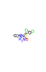 NC(C=O)C(c1ccc(-c2ccc(Cl)cc2Cl)s1)N1CCN(C2Cc3ccccc3C2)CC1